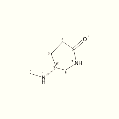 CN[C@@H]1CCC(=O)NC1